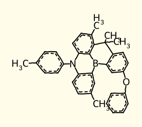 Cc1ccc(N2c3ccc(C)cc3B3c4cc(Oc5ccccc5)ccc4C(C)(C)c4c(C)ccc2c43)cc1